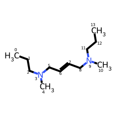 CCCN(C)CC=CCN(C)CCC